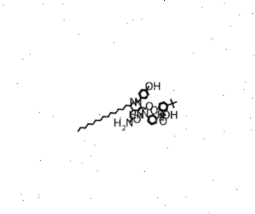 CCCCCCCCCCCCCCC(N=Nc1ccc(O)cc1)C(CC(N)=O)c1cc(=O)n(-c2cccc(S(=O)(=O)O)c2Oc2ccc(C(C)(C)C)cc2)[nH]1